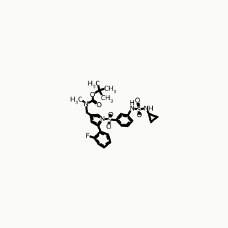 CN(Cc1cc(-c2ccccc2F)n(S(=O)(=O)c2cccc(NS(=O)(=O)NC3CC3)c2)c1)C(=O)OC(C)(C)C